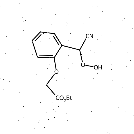 CCOC(=O)COc1ccccc1C(C#N)OO